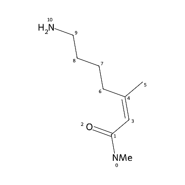 CNC(=O)C=C(C)CCCCN